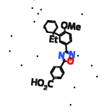 CCC1(c2cc(-c3noc(-c4ccc(C(=O)O)cc4)n3)ccc2OC)CC=CCC1